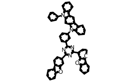 c1ccc(-n2c3ccccc3c3cc4c5ccccc5n(-c5cccc(-c6nc(-c7ccc8c(c7)oc7ccccc78)nc(-c7cccc8c7oc7ccccc78)n6)c5)c4cc32)cc1